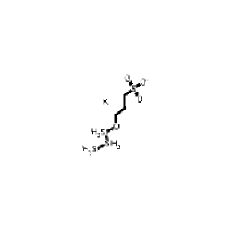 O=S(=O)([O-])CCCO[SiH2][SiH2][SiH3].[K+]